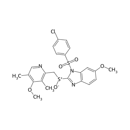 COc1ccc2nc([S+]([O-])Cc3ncc(C)c(OC)c3C)n(S(=O)(=O)c3ccc(Cl)cc3)c2c1